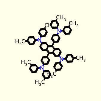 Cc1ccc(N(c2ccc(C)cc2)c2ccc3c(-c4ccc(N(c5cccc(C)c5)c5cccc(C)c5)cc4)c4cc(N(c5ccc(C)cc5)c5ccc(C)cc5)ccc4c(-c4ccc(N(c5cccc(C)c5)c5cccc(C)c5)cc4)c3c2)cc1